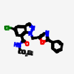 CCOC(=O)NC(=O)c1cc(Cl)cc2cnn(Cc3cnc(-c4ccccc4)o3)c12